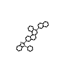 c1ccc(-n2c(-c3ccc4c(ccc5cc(-c6ccc7ccccc7c6)c6ccccc6c54)c3)nc3ccccc32)cc1